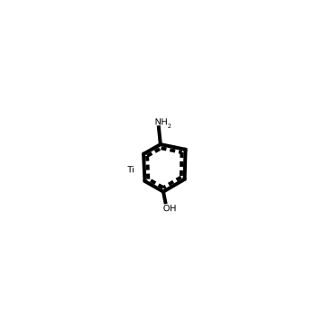 Nc1ccc(O)cc1.[Ti]